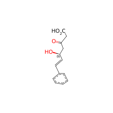 O=C(O)CC(=O)C[C@H](O)C=Cc1ccccc1